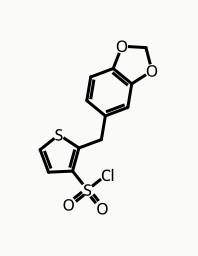 O=S(=O)(Cl)c1ccsc1Cc1ccc2c(c1)OCO2